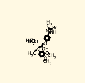 CCN(C[C@H](O)COc1ccc(-c2nc(C)c(Br)[nH]2)cc1)c1ccc(OC)c(OC)c1.Cl.Cl.O